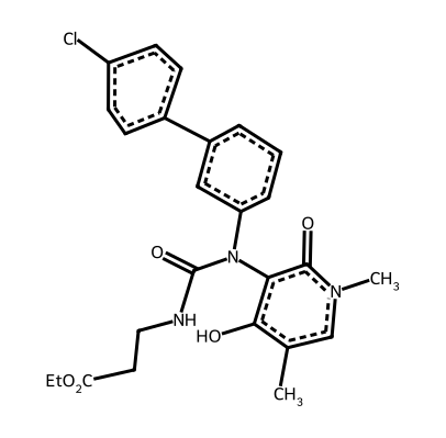 CCOC(=O)CCNC(=O)N(c1cccc(-c2ccc(Cl)cc2)c1)c1c(O)c(C)cn(C)c1=O